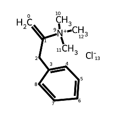 C=C(Cc1ccccc1)[N+](C)(C)C.[Cl-]